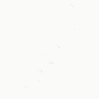 CN(C)CCNC(=O)N1CCN(c2ccc(C#N)cc2)CC1